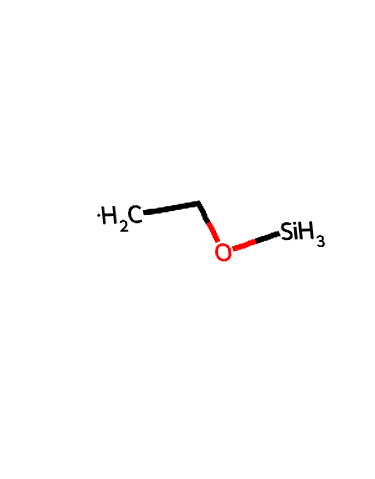 [CH2]CO[SiH3]